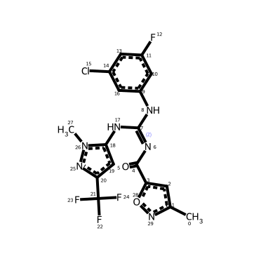 Cc1cc(C(=O)/N=C(/Nc2cc(F)cc(Cl)c2)Nc2cc(C(F)(F)F)nn2C)on1